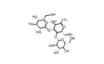 CC1O[C@H](CO)[C@@H](O[C@@H]2O[C@H](CO)[C@@H](O)[C@H](O)[C@H]2O)[C@H](O[C@@H]2O[C@H](CO)[C@@H](O)[C@H](O)[C@H]2O)[C@H]1O